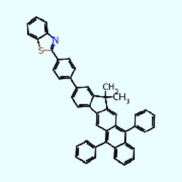 CC1(C)c2cc(-c3ccc(-c4nc5ccccc5s4)cc3)ccc2-c2cc3c(-c4ccccc4)c4ccccc4c(-c4ccccc4)c3cc21